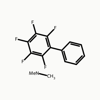 CNC.Fc1c(F)c(F)c(-c2ccccc2)c(F)c1F